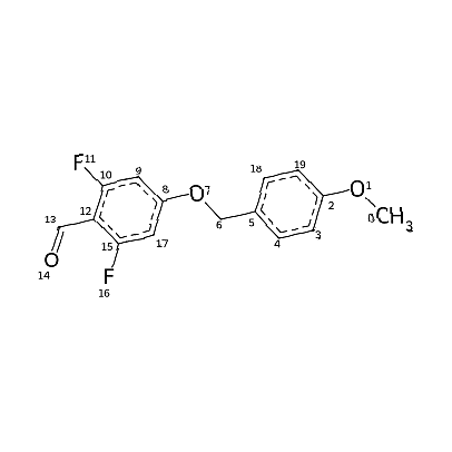 COc1ccc(COc2cc(F)c(C=O)c(F)c2)cc1